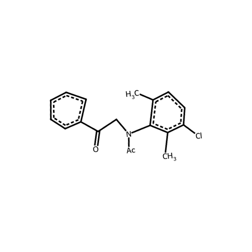 CC(=O)N(CC(=O)c1ccccc1)c1c(C)ccc(Cl)c1C